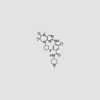 CN1CCC(NC(=O)c2cc(Cl)c(Nc3ncc4c(n3)N(C3CCCC3)CC3(CC3)C(=O)N4C)cc2F)CC1